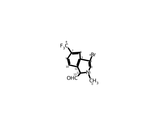 CN1C=C(Br)c2cc(C(F)(F)F)ccc2C1C=O